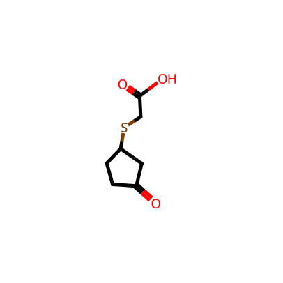 O=C(O)CSC1CCC(=O)C1